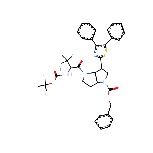 CC(C)(C)OC(=O)NC(C(=O)N1CCC2C1C(c1nc(-c3ccccc3)c(-c3ccccc3)s1)CN2C(=O)OCc1ccccc1)C(C)(C)C